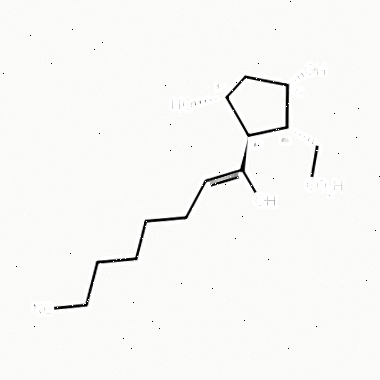 N#CCCCCCC=C(O)[C@@H]1[C@@H](CC(=O)O)[C@@H](O)C[C@H]1O